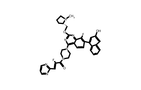 CN1CCC[C@H]1COc1nc(N2CCN(C(=O)/C(F)=C/c3ncccn3)CC2)c2ccc(-c3cc(O)cc4ccccc34)c(F)c2n1